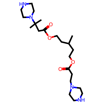 CC(CCOC(=O)CCN1CCNCC1)CCOC(=O)CC(C)(C)N1CCNCC1